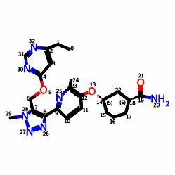 CCc1cc(OCc2c(-c3ccc(O[C@H]4CCC[C@H](C(N)=O)C4)c(C)n3)nnn2C)ncn1